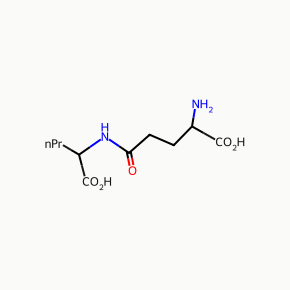 CCCC(NC(=O)CCC(N)C(=O)O)C(=O)O